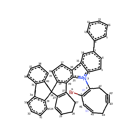 BrC1=C(\n2c3ccc(-c4ccccc4)cc3c3ccc4c(c32)C2=C(C=CCC2)C42c3ccccc3-c3ccccc32)CC#CC/C=C\1